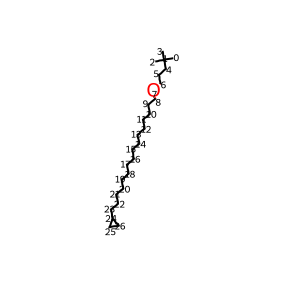 CC(C)(C)CCCOCCCCCCCCCCCCCCCCC1CC1